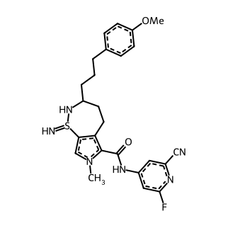 COc1ccc(CCCC2CCc3c(cn(C)c3C(=O)Nc3cc(F)nc(C#N)c3)S(=N)N2)cc1